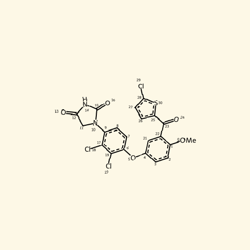 COc1ccc(Oc2ccc(N3CC(=O)NC3=O)c(Cl)c2Cl)cc1C(=O)c1ccc(Cl)s1